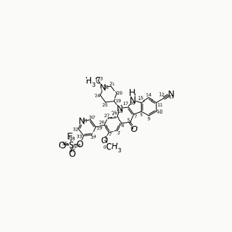 COc1cc2c(=O)c3c4ccc(C#N)cc4[nH]c3n(C3CCN(C)CC3)c2cc1-c1cncc(OS(=O)(=O)F)c1